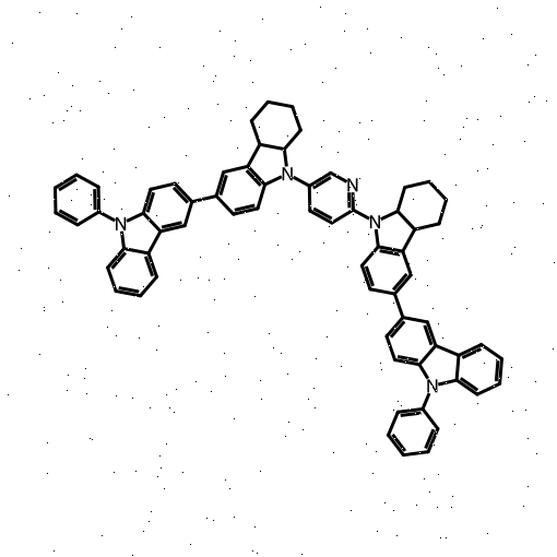 c1ccc(-n2c3ccccc3c3cc(-c4ccc5c(c4)C4CCCCC4N5c4ccc(N5c6ccc(-c7ccc8c(c7)c7ccccc7n8-c7ccccc7)cc6C6CCCCC65)nc4)ccc32)cc1